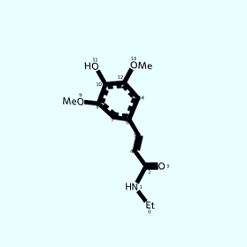 CCNC(=O)C=Cc1cc(OC)c(O)c(OC)c1